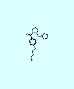 O=C(c1ccc(OCCCF)cc1)N1CCCC1CN1CCCC1